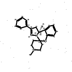 CN1CCC2(CC1)Oc1ccccc1[C@@H]1CC(c3ccccc3)=NN12